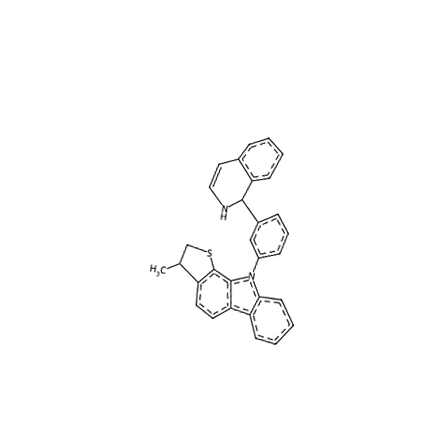 CC1CSc2c1ccc1c3ccccc3n(-c3cccc(C4NC=Cc5ccccc54)c3)c21